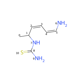 CC(/C=C\C=C/N)NC(N)=S